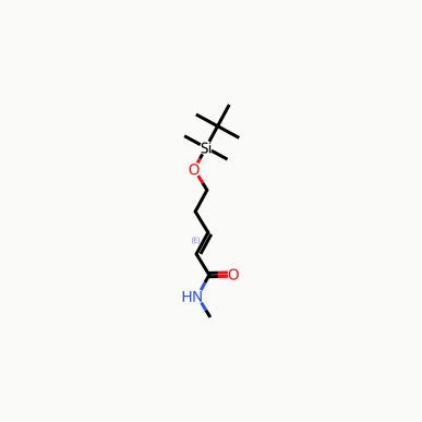 CNC(=O)/C=C/CCO[Si](C)(C)C(C)(C)C